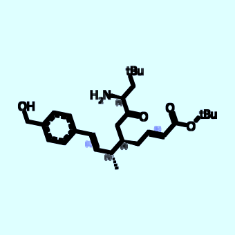 C[C@H](/C=C/c1ccc(CO)cc1)[C@H](C/C=C/C(=O)OC(C)(C)C)CC(=O)[C@@H](N)CC(C)(C)C